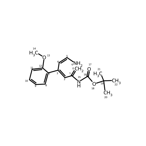 C=C(/C=C(\C=C/N)c1ccccc1OC)NC(=O)OC(C)(C)C